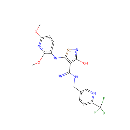 COc1ccc(Nc2snc(O)c2C(=N)NCc2ccc(C(F)(F)F)nc2)c(OC)n1